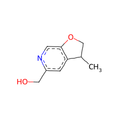 CC1COc2cnc(CO)cc21